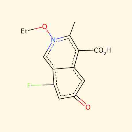 CCOn1cc2c(F)cc(=O)cc-2c(C(=O)O)c1C